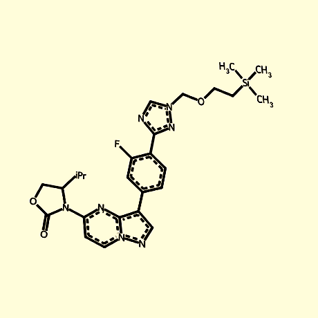 CC(C)C1COC(=O)N1c1ccn2ncc(-c3ccc(-c4ncn(COCC[Si](C)(C)C)n4)c(F)c3)c2n1